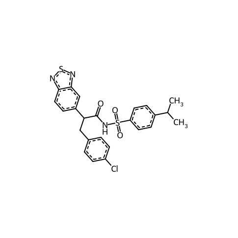 CC(C)c1ccc(S(=O)(=O)NC(=O)C(Cc2ccc(Cl)cc2)c2ccc3nsnc3c2)cc1